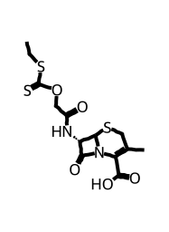 CCSC(=S)OCC(=O)N[C@H]1C(=O)N2C(C(=O)O)=C(C)CSC12